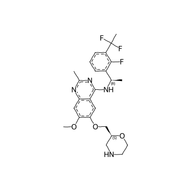 COc1cc2nc(C)nc(N[C@H](C)c3cccc(C(C)(F)F)c3F)c2cc1OC[C@@H]1CNCCO1